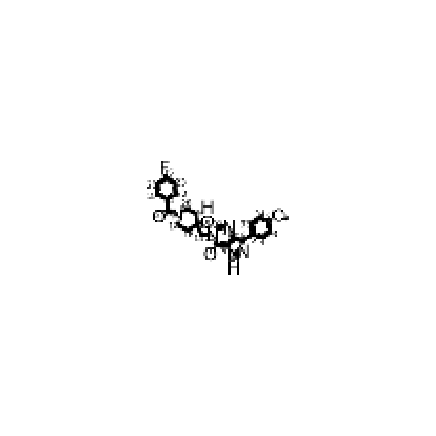 COc1ccc(-c2n[nH]c3c(=O)n(CC4(O)CCN(C(=O)c5ccc(F)cc5)CC4)cnc23)cc1